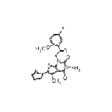 COc1ccc(F)cc1C(=O)Cn1c(=O)n(N)c(=O)c2c(C)c(-n3cccn3)sc21